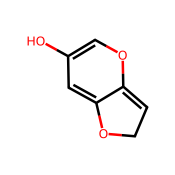 OC1=COC2=CCOC2=C1